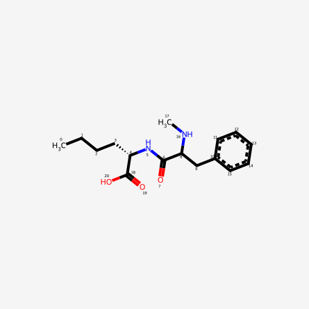 CCCC[C@H](NC(=O)C(Cc1ccccc1)NC)C(=O)O